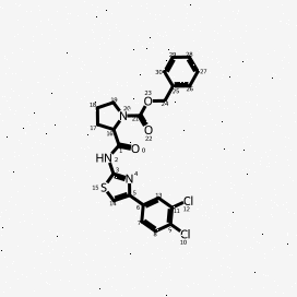 O=C(Nc1nc(-c2ccc(Cl)c(Cl)c2)cs1)C1CCCN1C(=O)OCc1ccccc1